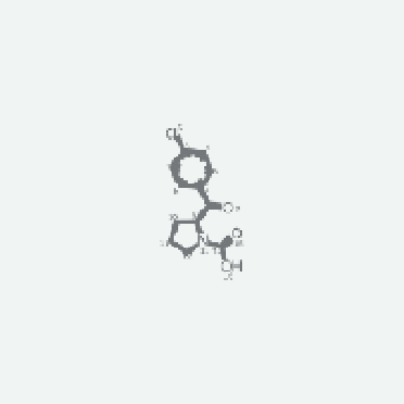 O=C(c1ccc(Cl)cc1)C1CCCN1C(=O)O